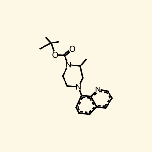 CC1CN(c2cccc3cccnc23)CCN1C(=O)OC(C)(C)C